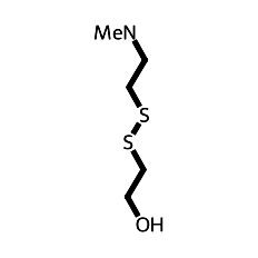 CNCCSSCCO